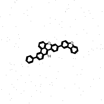 [2H]c1c2c3c(cccc3c3cc(-c4ccccc4)ccc13)Oc1cc(-c3ccc4oc5ccccc5c4c3)ccc1-2